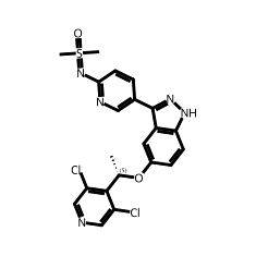 C[C@H](Oc1ccc2[nH]nc(-c3ccc(N=S(C)(C)=O)nc3)c2c1)c1c(Cl)cncc1Cl